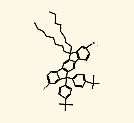 Bc1ccc2c(c1)C(CCCCCCCC)(CCCCCCCC)c1cc3c(cc1-2)C(c1ccc(C(C)(C)C)cc1)(c1ccc(C(C)(C)C)cc1)c1cc(Br)ccc1-3